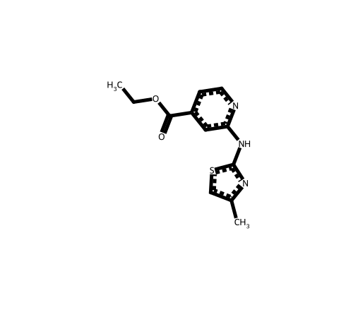 CCOC(=O)c1ccnc(Nc2nc(C)cs2)c1